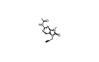 C#CCn1c(=O)n(C)c2nc(NC(C)=O)ncc21